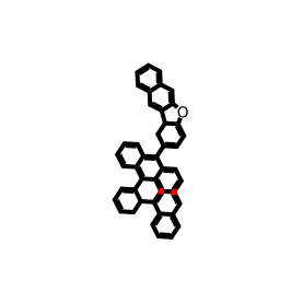 C1=CCC(c2cccc3ccccc23)C(c2c3ccccc3c(C3=CC=C4Oc5cc6ccccc6cc5C4C3)c3ccccc23)=C1